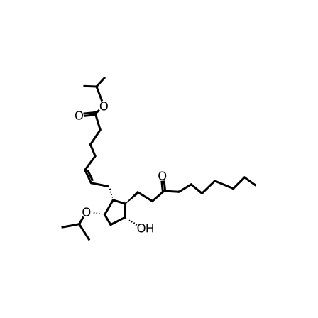 CCCCCCCC(=O)CC[C@@H]1[C@@H](C/C=C\CCCC(=O)OC(C)C)[C@@H](OC(C)C)C[C@H]1O